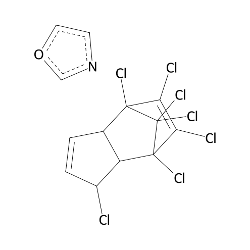 ClC1=C(Cl)C2(Cl)C3C(Cl)C=CC3C1(Cl)C2(Cl)Cl.c1cocn1